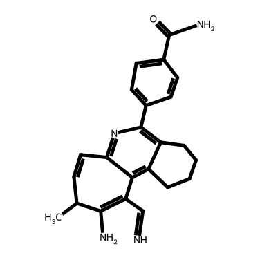 CC1C=Cc2nc(-c3ccc(C(N)=O)cc3)c3c(c2C(C=N)=C1N)CCCC3